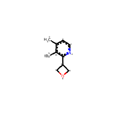 Cc1ccnc(C2COC2)c1C(C)(C)C